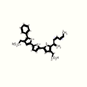 C=C(/C=C\C=C/C)c1sc(-c2ccc(-c3cc(CC(=O)O)c(-c4ccccc4)s3)s2)cc1CC(=O)O